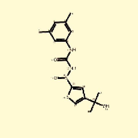 Cc1cc(C)cc(NC(=O)N[S+]([O-])c2cc(C(C)(C)O)cs2)c1